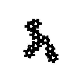 c1cc(-c2ccc3c(c2)sc2ccccc23)cc(N(c2ccc(-c3cccc4ccccc34)cc2)c2ccc3c(c2)oc2ccccc23)c1